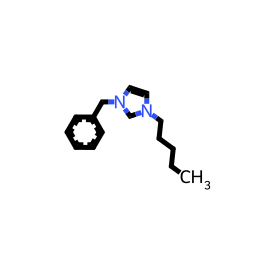 CCCCCN1C=CN(Cc2ccccc2)C1